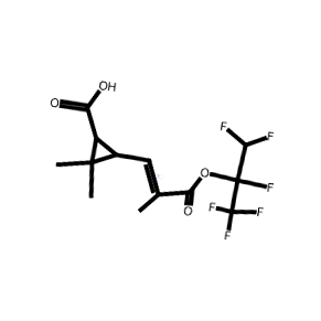 C/C(=C\C1C(C(=O)O)C1(C)C)C(=O)OC(F)(C(F)F)C(F)(F)F